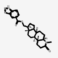 CN1C(=O)CC[C@]2(C)[C@H]3CC[C@]4(C)C(COC(=O)c5ccc6[nH]nnc6c5)CC[C@H]4[C@@H]3CC[C@@H]12